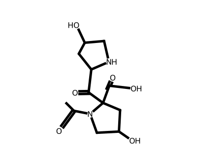 CC(=O)N1CC(O)CC1(C(=O)O)C(=O)C1CC(O)CN1